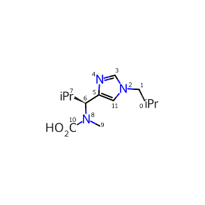 CC(C)Cn1cnc([C@H](C(C)C)N(C)C(=O)O)c1